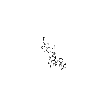 C#CCNC(=O)c1cc(OC)c(Nc2ncc(C(F)(F)F)c(N[C@@H]3CCC[C@H]3NS(C)(=O)=O)n2)cc1C